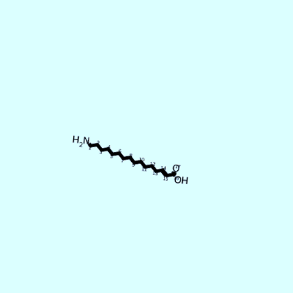 NCCCCCCCCCCCCCC=CC(=O)O